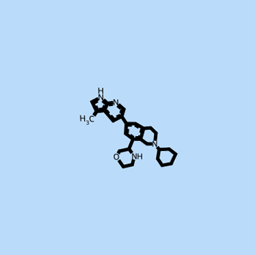 Cc1c[nH]c2ncc(-c3cc4c(c(C5COCCN5)c3)CN(C3CCCCC3)CC4)cc12